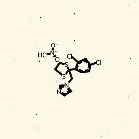 Clc1ccc(C2(Cn3ccnc3)SCCS2)c(Cl)c1.O=[N+]([O-])O